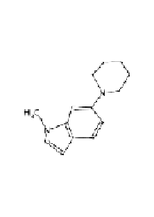 Cn1ccc2ccc(N3CCCCC3)cc21